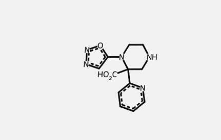 O=C(O)C1(c2ccccn2)CNCCN1c1cnno1